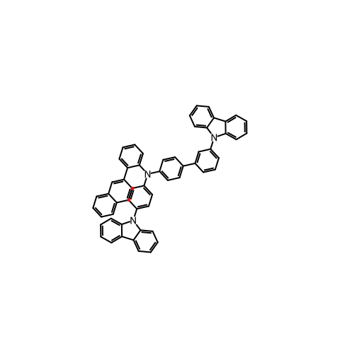 c1cc(-c2ccc(N(c3ccc(-n4c5ccccc5c5ccccc54)cc3)c3ccccc3-c3ccc4ccccc4c3)cc2)cc(-n2c3ccccc3c3ccccc32)c1